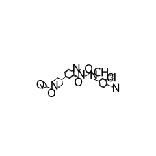 CN(Cc1ccc(C#N)c(Cl)c1)C(=O)Cn1cnc2ccc(C3CCN(C(=O)C4COC4)CC3)cc2c1=O